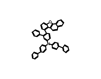 c1ccc(-c2ccc(N(c3ccc(-c4ccccc4)cc3)c3ccc(-c4cccc5oc6c7ccccc7ccc6c45)c(-c4ccccc4)c3)cc2)cc1